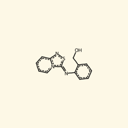 OCc1ccccc1/N=c1\snc2ccccn12